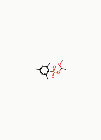 COC(C)OS(=O)(=O)c1c(C)cc(C)cc1C